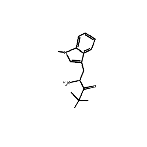 Cn1cc(CC(N)C(=O)C(C)(C)C)c2ccccc21